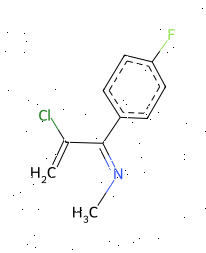 C=C(Cl)/C(=N\C)c1ccc(F)cc1